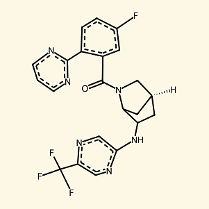 O=C(c1cc(F)ccc1-c1ncccn1)N1C[C@H]2CC(Nc3cnc(C(F)(F)F)cn3)C1C2